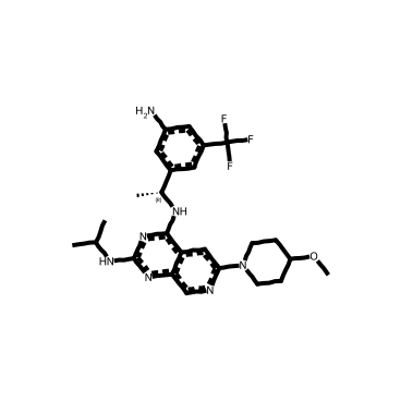 COC1CCN(c2cc3c(N[C@H](C)c4cc(N)cc(C(F)(F)F)c4)nc(NC(C)C)nc3cn2)CC1